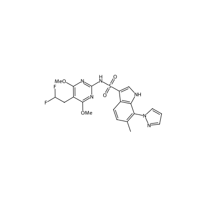 COc1nc(NS(=O)(=O)c2c[nH]c3c(-n4cccn4)c(C)ccc23)nc(OC)c1CC(F)F